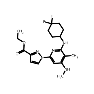 CCOC(=O)c1ccn(-c2cc(NC)c(C)c(NC3CCC(F)(F)CC3)n2)n1